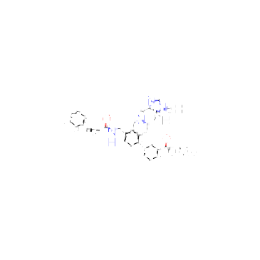 COC(=O)c1cccc(-c2ccc(CNC(=O)[C@@H]3C[C@@H]3c3ccccc3)c3c2CCN(Cc2ncn(C)c2C)C3)c1